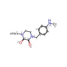 CCCCCCN1CCN(Cc2ccc(NCC)cc2)C(=O)C1=O